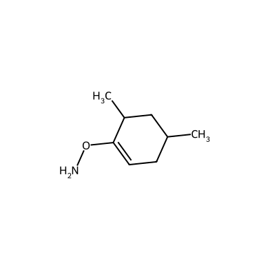 CC1CC=C(ON)C(C)C1